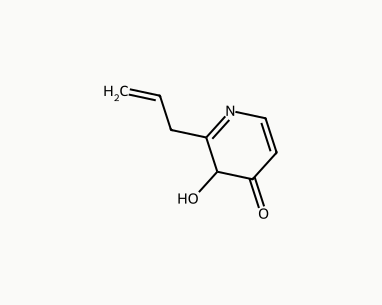 C=CCC1=NC=CC(=O)C1O